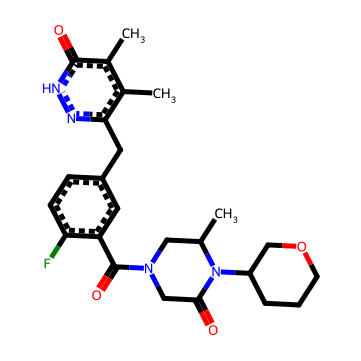 Cc1c(Cc2ccc(F)c(C(=O)N3CC(=O)N(C4CCCOC4)C(C)C3)c2)n[nH]c(=O)c1C